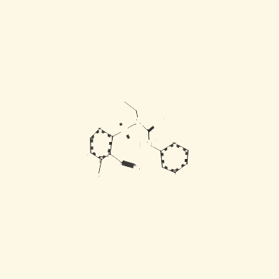 CCN(C(=O)Nc1ccccc1)S(=O)(=O)c1cccc(C)c1C#N